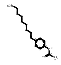 CCCCCCCCCCCCCCCCCCc1ccc(OC(N)=S)cc1